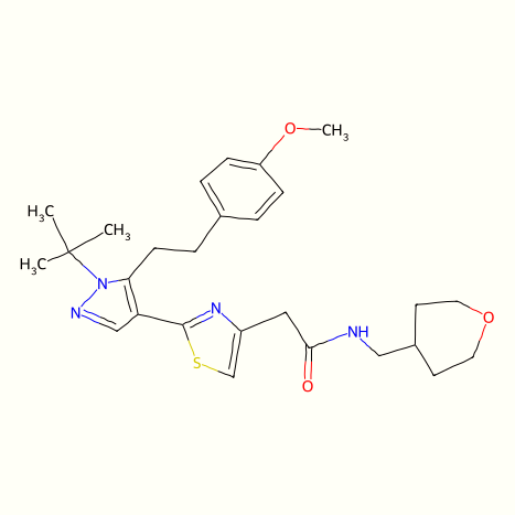 COc1ccc(CCc2c(-c3nc(CC(=O)NCC4CCOCC4)cs3)cnn2C(C)(C)C)cc1